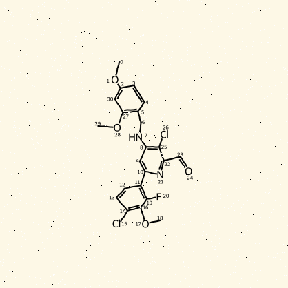 COc1ccc(CNc2cc(-c3ccc(Cl)c(OC)c3F)nc(C=O)c2Cl)c(OC)c1